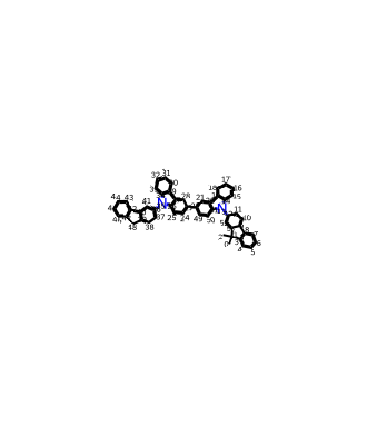 CC1(C)c2ccccc2-c2ccc(-n3c4ccccc4c4cc(-c5ccc6c(c5)c5ccccc5n6-c5ccc6c(c5)-c5ccccc5C6)ccc43)cc21